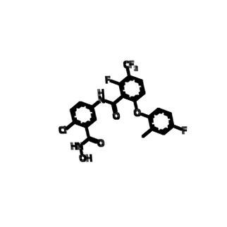 Cc1cc(F)ccc1Oc1ccc(C(F)(F)F)c(F)c1C(=O)Nc1ccc(Cl)c(C(=O)NO)c1